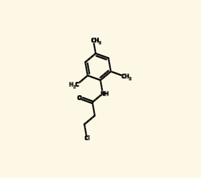 Cc1cc(C)c(NC(=O)CCCl)c(C)c1